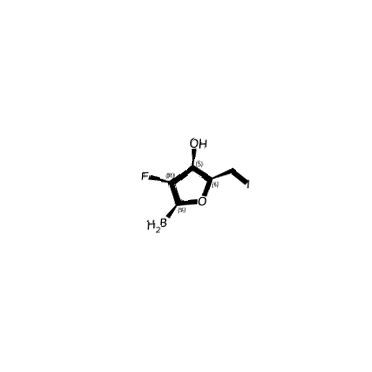 B[C@@H]1O[C@H](CI)[C@H](O)[C@@H]1F